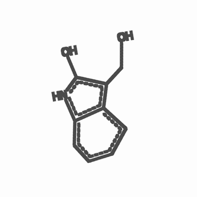 OCc1c(O)[nH]c2ccccc12